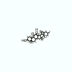 CC1COC2(O[C@H]3CC4C5CC[C@H]6C[C@@H](O)CC[C@]6(C)C5C(=O)[C@@H](O)[C@]4(C)C3C2C)C(Br)C1